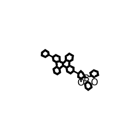 c1ccc(-c2ccc3c(c2)c2ccccc2c2c4ccc(-c5ccc6c(c5)Oc5cccc7c5B6c5ccccc5O7)cc4c4ccccc4c32)cc1